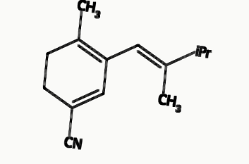 CC1=C(/C=C(\C)C(C)C)C=C(C#N)CC1